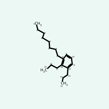 CCCCCCCCc1[c]ccc(CCC)c1CCC